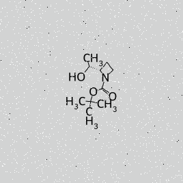 CC(O)[C@@H]1CCN1C(=O)OC(C)(C)C